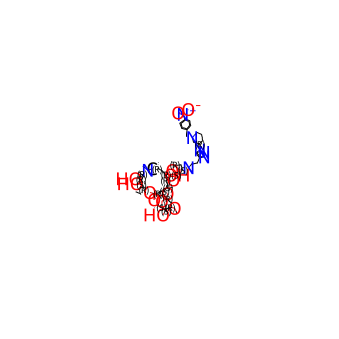 CC[C@H]1OC(=O)[C@H](C)[C@@H](O[C@H]2C[C@@](C)(OC)[C@@H](O)[C@H](C)O2)[C@H](C)[C@@H](O[C@H]2C[C@@H](N(C)CCc3cn([C@@H]4CCCN(Cc5ccc([N+](=O)[O-])cc5)C4)nn3)C[C@@H](C)O2)[C@](C)(O)C[C@@H](C)CN(C)[C@H](C)[C@@H](O)[C@]1(C)O